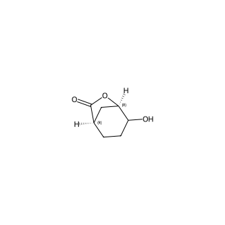 O=C1O[C@@H]2C[C@H]1CCC2O